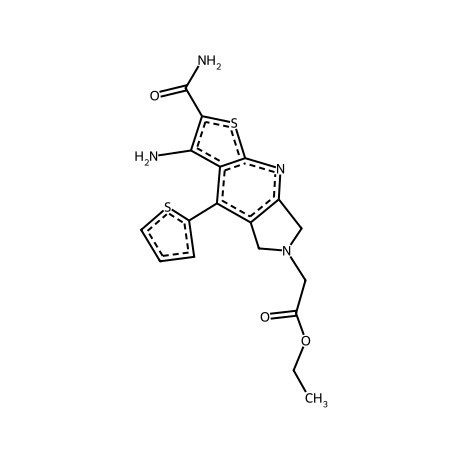 CCOC(=O)CN1Cc2nc3sc(C(N)=O)c(N)c3c(-c3cccs3)c2C1